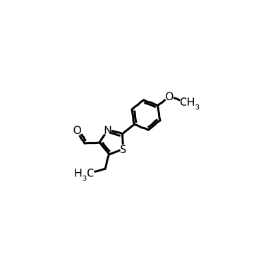 CCc1sc(-c2ccc(OC)cc2)nc1C=O